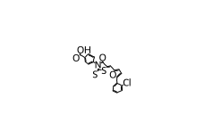 O=C(O)c1ccc(N2C(=O)C(=Cc3ccc(-c4ccccc4Cl)o3)SC2=S)cc1